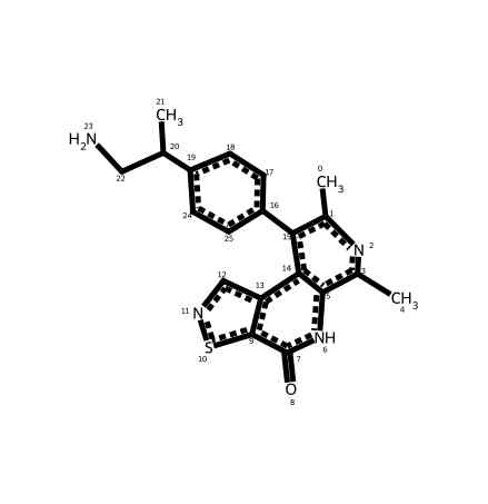 Cc1nc(C)c2[nH]c(=O)c3sncc3c2c1-c1ccc(C(C)CN)cc1